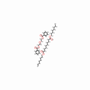 CCCCCCCCOC(=O)CCCCCCCCC(=O)OCCCCCCCC.O=C(OCCOCCOC(=O)c1ccccc1)c1ccccc1